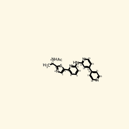 CC(=O)N[C@@H](C)c1ncc(-c2cccc(Nc3cc(-c4ccncc4)ccn3)n2)s1